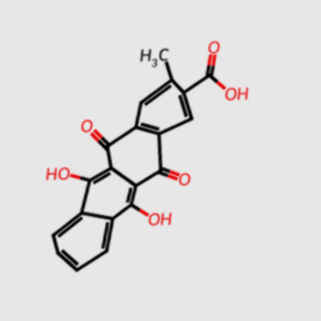 Cc1cc2c(cc1C(=O)O)C(=O)c1c(c(O)c3ccccc3c1O)C2=O